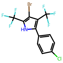 FC(F)(F)c1[nH]c(-c2ccc(Cl)cc2)c(C(F)(F)F)c1Br